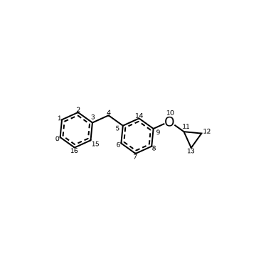 c1ccc(Cc2cccc(OC3CC3)c2)cc1